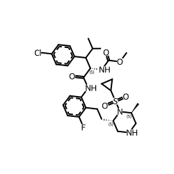 COC(=O)N[C@H](C(=O)Nc1cccc(F)c1CC[C@H]1CNC[C@H](C)N1S(=O)(=O)C1CC1)C(c1ccc(Cl)cc1)C(C)C